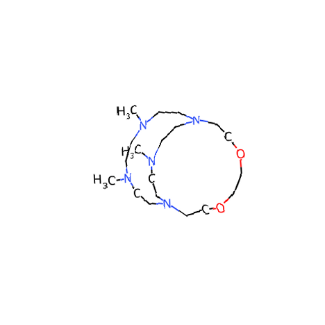 CN1CCN(C)CCN2CCOCCOCCN(CC1)CCN(C)CC2